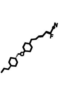 CCC[C@H]1CC[C@H](COC2CCC(CCC=CC=C(F)C#N)CC2)CC1